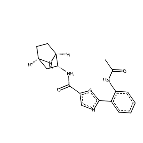 CC(=O)Nc1ccccc1-c1ncc(C(=O)N[C@@H]2C[C@H]3CC[C@@H]2N3)s1